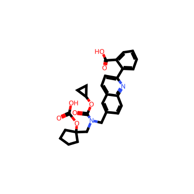 O=C(O)OC1(CN(Cc2ccc3nc(-c4ccccc4C(=O)O)ccc3c2)C(=O)OC2CC2)CCCC1